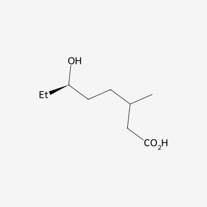 CC[C@@H](O)CCC(C)CC(=O)O